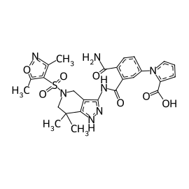 Cc1noc(C)c1S(=O)(=O)N1Cc2c(NC(=O)c3cc(-n4cccc4C(=O)O)ccc3C(N)=O)n[nH]c2C(C)(C)C1